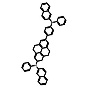 C1=C2CCc3cc(-c4ccc(N(c5ccccc5)c5ccc6ccccc6c5)cc4)cc4c3C2=C(CC4)CC1N(c1ccccc1)c1ccc2ccccc2c1